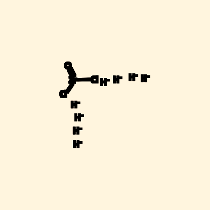 [H-].[H-].[H-].[H-].[H-].[H-].[H-].[H-].[O]=[Zr]([Cl])[Cl]